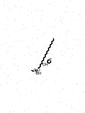 CCCCCCCCCCCCCCCC(O)CCCOP(O)OCC.CN1CCCC1